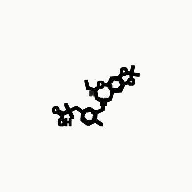 CC[C@@H]1CN(Cc2cc(CC(C)(C)C(=O)O)ccc2C)Cc2cc3c(cc2O1)OC(C)(C)O3